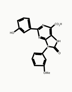 COc1cccc(-n2c(=O)[nH]c3c(C(=O)O)nc(-c4cccc(O)c4)nc32)c1